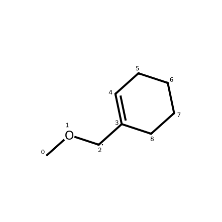 CO[CH]C1=CCCCC1